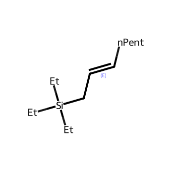 CCCCC/C=C/C[Si](CC)(CC)CC